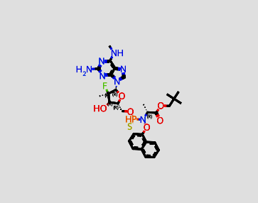 CNc1nc(N)nc2c1ncn2[C@@H]1O[C@H](CO[PH](=S)N(Oc2cccc3ccccc23)[C@H](C)C(=O)OCC(C)(C)C)[C@@H](O)[C@@]1(C)F